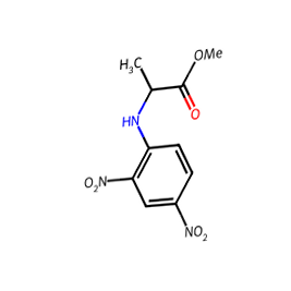 COC(=O)C(C)Nc1ccc([N+](=O)[O-])cc1[N+](=O)[O-]